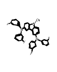 N#Cn1c2ccc(N(c3cccc(F)c3)c3cccc(F)c3)cc2c2cc(N(c3cccc(F)c3)c3cccc(F)c3)ccc21